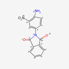 Nc1ccc(N2C(=O)c3ccccc3C2=O)cc1[N+](=O)[O-]